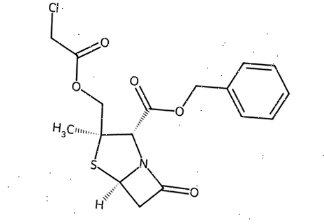 C[C@@]1(COC(=O)CCl)S[C@@H]2CC(=O)N2[C@H]1C(=O)OCc1ccccc1